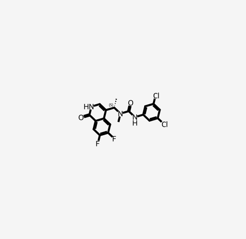 C[C@@H](c1c[nH]c(=O)c2cc(F)c(F)cc12)N(C)C(=O)Nc1cc(Cl)cc(Cl)c1